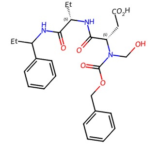 CCC(NC(=O)[C@H](CC)NC(=O)[C@H](CC(=O)O)N(CO)C(=O)OCc1ccccc1)c1ccccc1